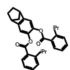 CC(C)c1ccccc1C(=O)Oc1cc2c(cc1OC(=O)c1ccccc1C(C)C)C1CCC2C1